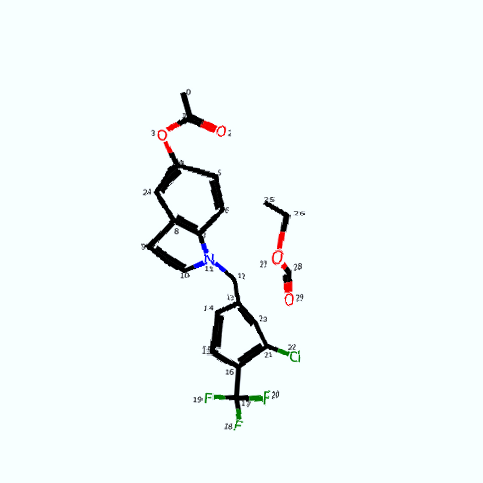 CC(=O)Oc1ccc2c(ccn2Cc2ccc(C(F)(F)F)c(Cl)c2)c1.CCOC=O